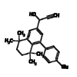 C#CC(O)c1cc(-c2ccc(C(C)(C)C)cc2)c2c(c1)C(C)(C)CCC2(C)C